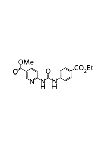 CCOC(=O)c1ccc(NC(=O)Nc2ccc(C(=O)OC)cn2)cc1